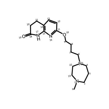 CN1CCCN(CCCCOc2ccc3c(n2)NC(=O)CC3)CC1